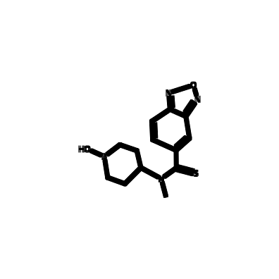 CN(C(=S)c1ccc2nonc2c1)C1CCB(O)CC1